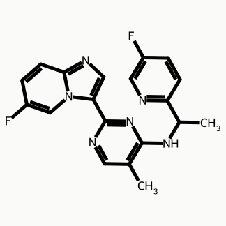 Cc1cnc(-c2cnc3ccc(F)cn23)nc1NC(C)c1ccc(F)cn1